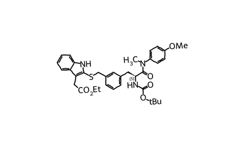 CCOC(=O)Cc1c(SCc2cccc(C[C@H](NC(=O)OC(C)(C)C)C(=O)N(C)c3ccc(OC)cc3)c2)[nH]c2ccccc12